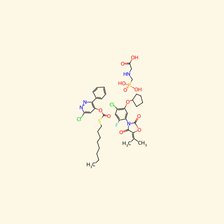 CC(C)=C1OC(=O)N(c2cc(OC3CCCC3)c(Cl)cc2F)C1=O.CCCCCCCCSC(=O)Oc1cc(Cl)nnc1-c1ccccc1.O=C(O)CNCP(=O)(O)O